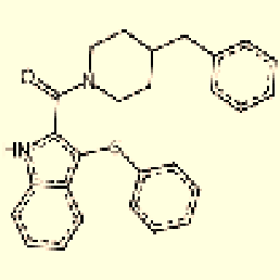 O=C(c1[nH]c2ccccc2c1Sc1ccccc1)N1CCC(Cc2ccccc2)CC1